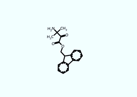 CC(C)(N)C(=O)C(=O)OCC1c2ccccc2-c2ccccc21